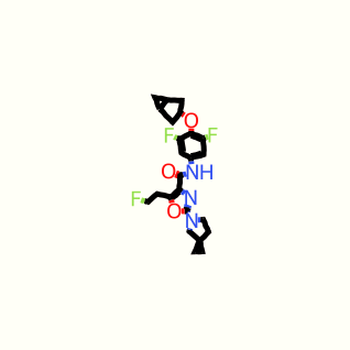 O=C(Nc1cc(F)c(OC2CC3CC3C2)c(F)c1)c1nc(N2CCC3(CC3)C2)oc1CCF